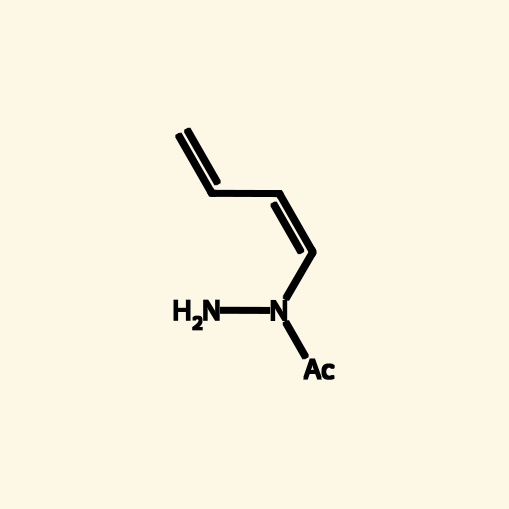 C=C/C=C\N(N)C(C)=O